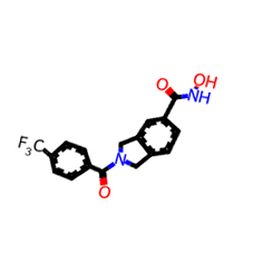 O=C(NO)c1ccc2c(c1)CN(C(=O)c1ccc(C(F)(F)F)cc1)C2